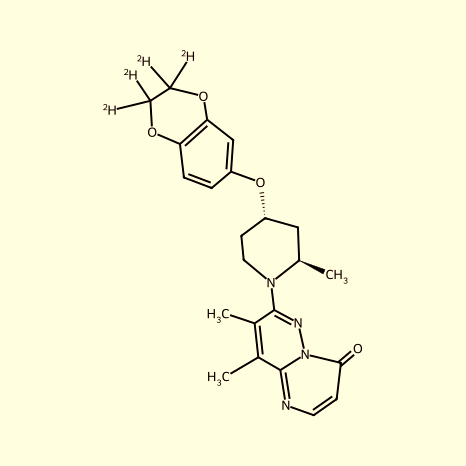 [2H]C1([2H])Oc2ccc(O[C@H]3CCN(c4nn5c(=O)ccnc5c(C)c4C)[C@H](C)C3)cc2OC1([2H])[2H]